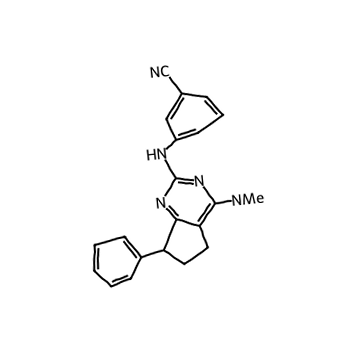 CNc1nc(Nc2cccc(C#N)c2)nc2c1CCC2c1ccccc1